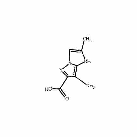 Cc1cn2nc(C(=O)O)c(N)c2[nH]1